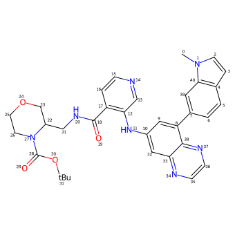 Cn1ccc2ccc(-c3cc(Nc4cnccc4C(=O)NCC4COCCN4C(=O)OC(C)(C)C)cc4nccnc34)cc21